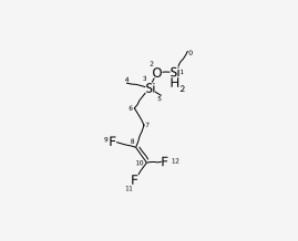 C[SiH2]O[Si](C)(C)CCC(F)=C(F)F